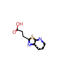 O=C(O)CCc1nc2cccnc2s1